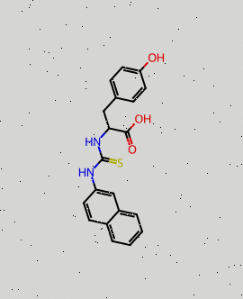 O=C(O)C(Cc1ccc(O)cc1)NC(=S)Nc1ccc2ccccc2c1